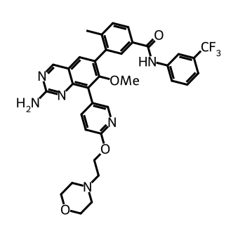 COc1c(-c2cc(C(=O)Nc3cccc(C(F)(F)F)c3)ccc2C)cc2cnc(N)nc2c1-c1ccc(OCCN2CCOCC2)nc1